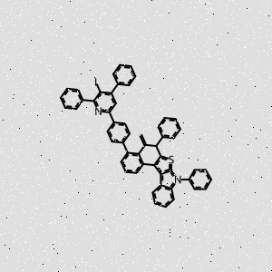 C=C1c2c(-c3ccc(-c4cc(-c5ccccc5)c(I)c(-c5ccccc5)n4)cc3)cccc2-c2c(sc3c2c2ccccc2n3-c2ccccc2)C1c1ccccc1